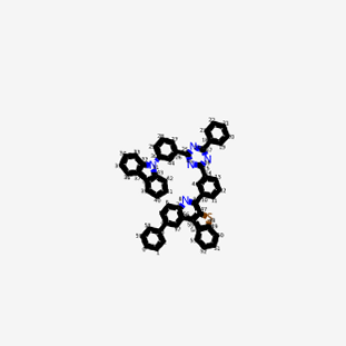 c1ccc(-c2ccc3nc(-c4cccc(-c5nc(-c6ccccc6)nc(-c6cccc(-n7c8ccccc8c8ccccc87)c6)n5)c4)c4sc5ccccc5c4c3c2)cc1